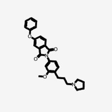 COc1cc(N2C(=O)c3ccc(Oc4ccccc4)cc3C2=O)ccc1CCCN1CCCC1